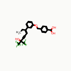 CCC(=CC#CC(O)(C(F)(F)F)C(F)(F)F)c1cccc(OCc2ccc(C(O)O)cc2)c1